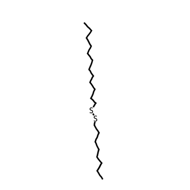 CCCCCCCCCCCCSSCCCCCCCC